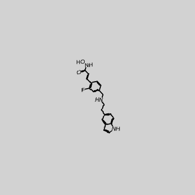 O=C(/C=C/c1ccc(CNCCc2ccc3[nH]ccc3c2)cc1F)NO